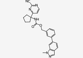 Cn1ncc2ccc(-c3cccc(COC(=O)NC4(c5ccnc(C#N)n5)CCCC4)c3)cc21